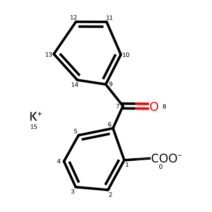 O=C([O-])c1ccccc1C(=O)c1ccccc1.[K+]